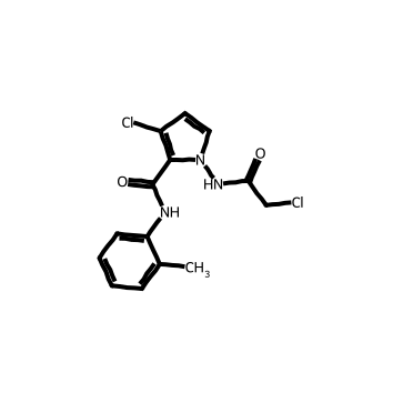 Cc1ccccc1NC(=O)c1c(Cl)ccn1NC(=O)CCl